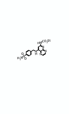 CCOC(=O)Nc1cc(NCc2ccc(S(N)(=O)=O)cc2)c2nccnc2n1